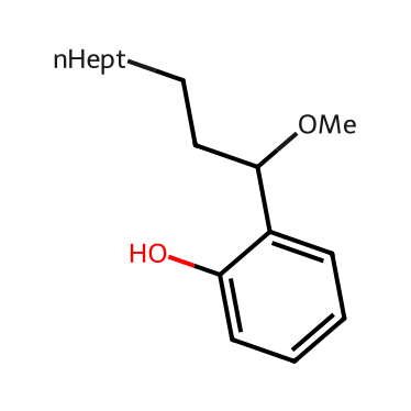 CCCCCCCCCC(OC)c1ccccc1O